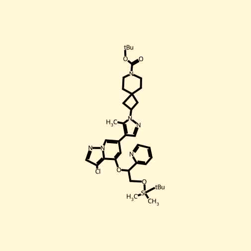 Cc1c(-c2cc(OC(CO[Si](C)(C)C(C)(C)C)c3ccccn3)c3c(Cl)cnn3c2)cnn1C1CC2(CCN(C(=O)OC(C)(C)C)CC2)C1